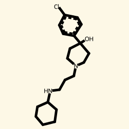 OC1(c2ccc(Cl)cc2)CCN(CCCNC2CCCCC2)CC1